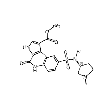 CCCOC(=O)c1c[nH]c2c(=O)[nH]c3ccc(S(=O)(=O)N(CC)[C@H]4CCN(C)C4)cc3c12